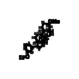 CCOc1cncc(C2=CC[C@H]3[C@@H]4CC[C@H]5C[C@@H](OC)CC[C@]5(C)[C@H]4CC[C@]23C)c1